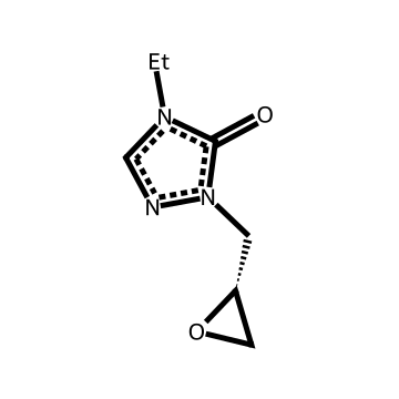 CCn1cnn(C[C@@H]2CO2)c1=O